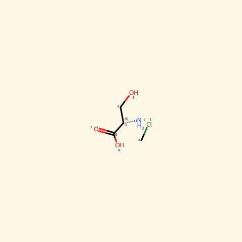 CCl.N[C@@H](CO)C(=O)O